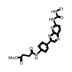 CCNC(=O)Nc1ccc2ncc(-c3ccc(NC(=O)CCC(=O)OC)cc3)nc2n1